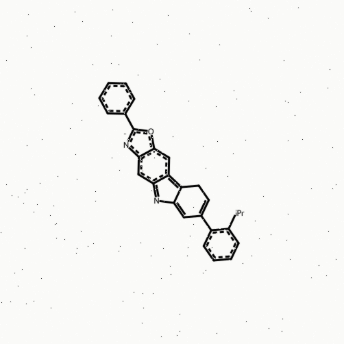 CC(C)c1ccccc1C1=CCC2=c3cc4oc(-c5ccccc5)nc4cc3=NC2=C1